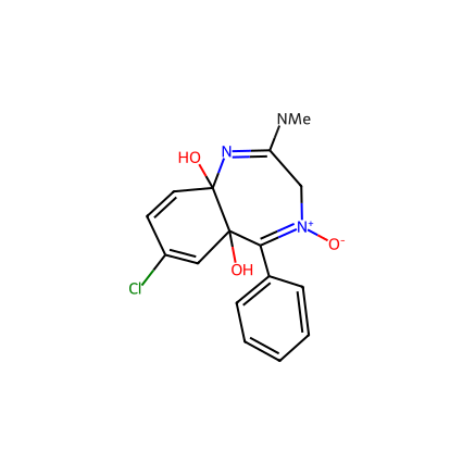 CNC1=NC2(O)C=CC(Cl)=CC2(O)C(c2ccccc2)=[N+]([O-])C1